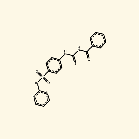 O=C(NC(=S)Nc1ccc(S(=O)(=O)Nc2ncccn2)cc1)c1ccccc1